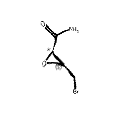 NC(=O)[C@@H]1O[C@@H]1CBr